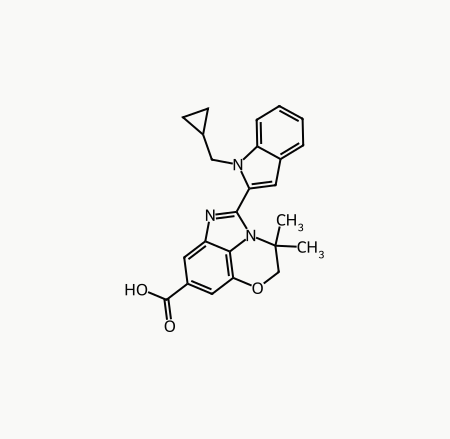 CC1(C)COc2cc(C(=O)O)cc3nc(-c4cc5ccccc5n4CC4CC4)n1c23